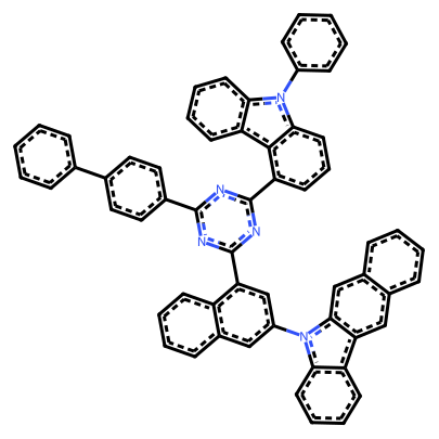 c1ccc(-c2ccc(-c3nc(-c4cc(-n5c6ccccc6c6cc7ccccc7cc65)cc5ccccc45)nc(-c4cccc5c4c4ccccc4n5-c4ccccc4)n3)cc2)cc1